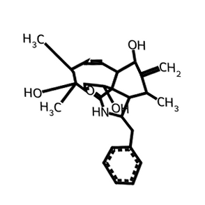 C=C1C(C)C2C(Cc3ccccc3)NC(=O)C23C(O)/C=C/C(C)(O)CC(C)C/C=C\C3C1O